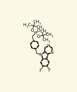 CC(C)(C)OP(=O)(Cc1ccc(Cn2c3cc(F)c(F)cc3c3ncncc32)cc1)OC(C)(C)C